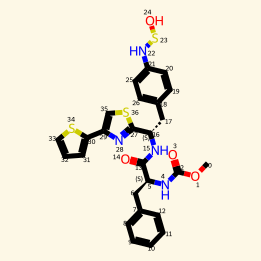 COC(=O)N[C@@H](Cc1ccccc1)C(=O)N[C@@H](Cc1ccc(NSO)cc1)c1nc(-c2cccs2)cs1